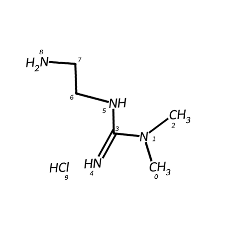 CN(C)C(=N)NCCN.Cl